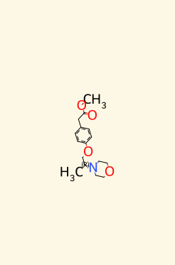 COC(=O)Cc1ccc(OC[C@@H](C)N2CCOCC2)cc1